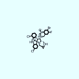 O=C1Nc2cc(Cl)ccc2[C@@]12[C@@H](c1cccc(Cl)c1F)[C@H](NCc1cc(F)c(Br)cc1[N+](=O)[O-])[C@H](CO)N2CC1CC1